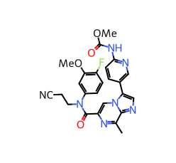 COC(=O)Nc1ccc(-c2cnc3c(C)nc(C(=O)N(CCC#N)c4ccc(F)c(OC)c4)cn23)cn1